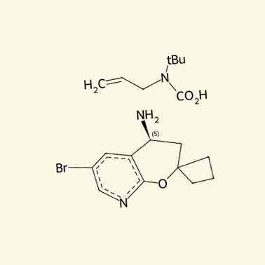 C=CCN(C(=O)O)C(C)(C)C.N[C@H]1CC2(CCC2)Oc2ncc(Br)cc21